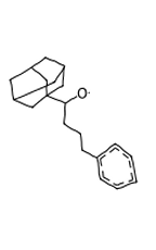 [O]C(CCCc1ccccc1)C12CC3CC(CC(C3)C1)C2